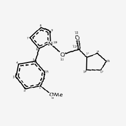 COc1cccc(-c2cccn2OC(=O)C2CCCC2)c1